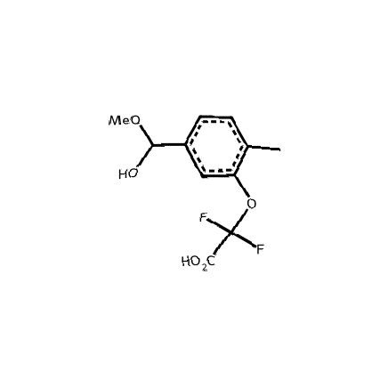 COC(O)c1ccc(C)c(OC(F)(F)C(=O)O)c1